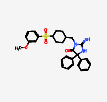 COc1cccc(S(=O)(=O)C2CCC(CN3C(=N)NC(c4ccccc4)(c4ccccc4)C3=O)CC2)c1